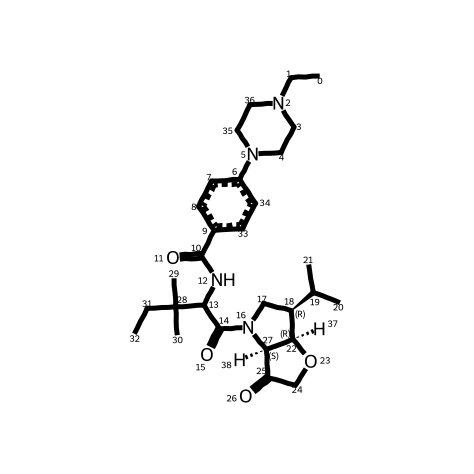 CCN1CCN(c2ccc(C(=O)NC(C(=O)N3C[C@@H](C(C)C)[C@H]4OCC(=O)[C@H]43)C(C)(C)CC)cc2)CC1